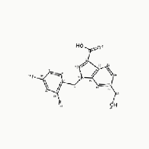 O=C(O)c1nn(Cc2ccc(F)cc2F)c2cc(CO)ccc12